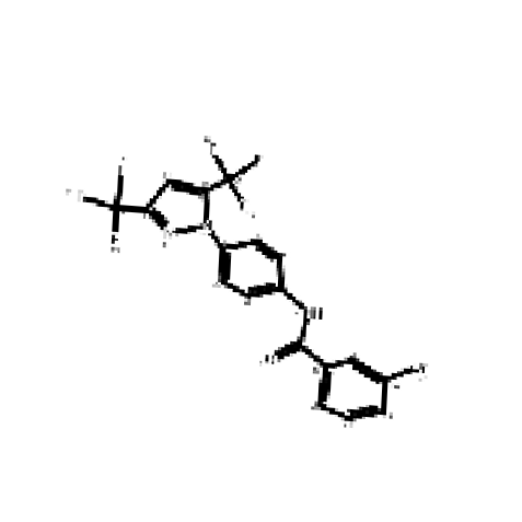 O=C(Nc1ccc(-n2nc(C(F)(F)F)cc2C(F)(F)F)cc1)c1cccc(Br)c1